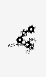 CC(=O)Nc1ccc(-c2nnc(-c3ccccc3)o2)cc1Nc1nc(N)c2ncn(C(C)C)c2n1